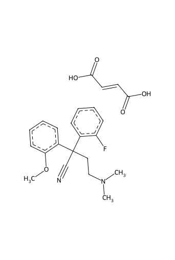 COc1ccccc1C(C#N)(CCN(C)C)c1ccccc1F.O=C(O)C=CC(=O)O